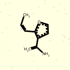 C=C(N)c1ccoc1/C=C\C